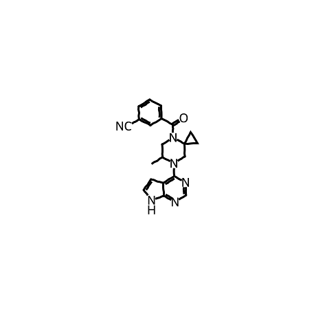 CC1CN(C(=O)c2cccc(C#N)c2)C2(CC2)CN1c1ncnc2[nH]ccc12